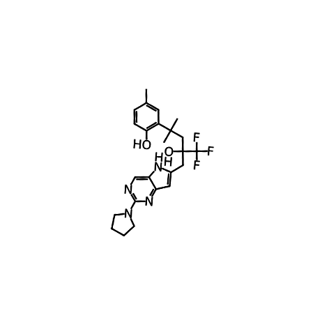 Cc1ccc(O)c(C(C)(C)CC(O)(Cc2cc3nc(N4CCCC4)ncc3[nH]2)C(F)(F)F)c1